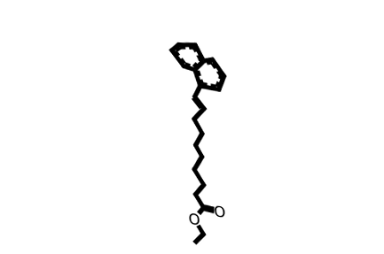 CCOC(=O)CCCCCCC/C=C/c1cccc2ccccc12